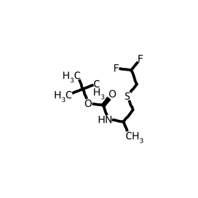 CC(CSCC(F)F)NC(=O)OC(C)(C)C